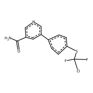 NC(=O)c1cncc(-c2ccc(SC(F)(F)Cl)cc2)c1